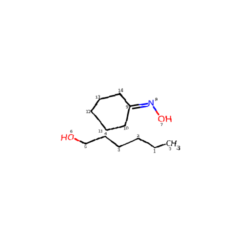 CCCCCCO.ON=C1CCCCC1